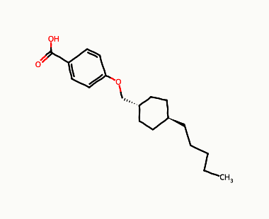 CCCCC[C@H]1CC[C@H](COc2ccc(C(=O)O)cc2)CC1